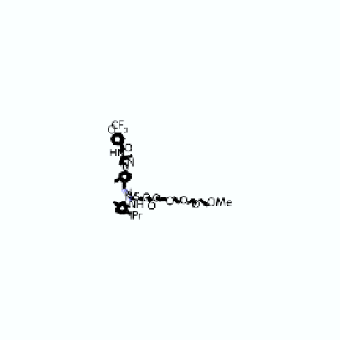 COCCOCCOCCOCCOC(=O)OCS/C(=N\N=C\c1ccc(-n2cc(NC(=O)c3ccc(OC(F)(F)F)cc3)c(C)n2)cc1C)Nc1cc(C)ccc1C(C)C